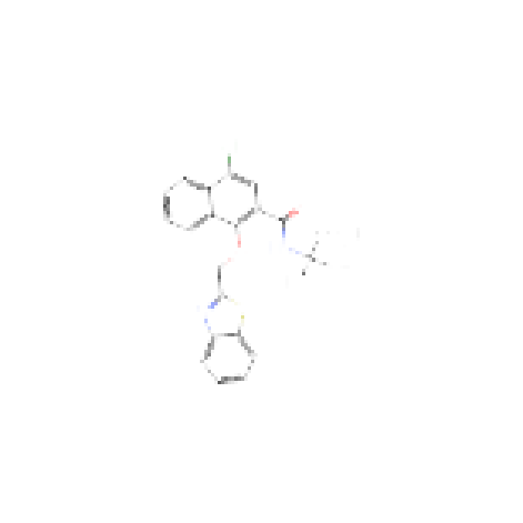 CC[C@@](C)(NC(=O)c1cc(Cl)c2ccccc2c1OCc1nc2ccccc2s1)C(=O)O